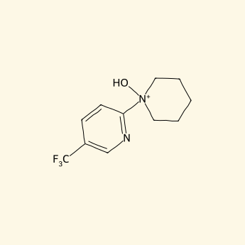 O[N+]1(c2ccc(C(F)(F)F)cn2)CCCCC1